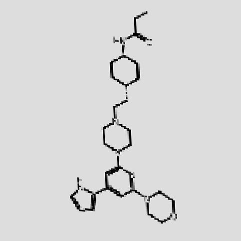 CCC(=O)N[C@H]1CC[C@H](CCN2CCN(c3cc(-c4ccc[nH]4)cc(N4CCOCC4)n3)CC2)CC1